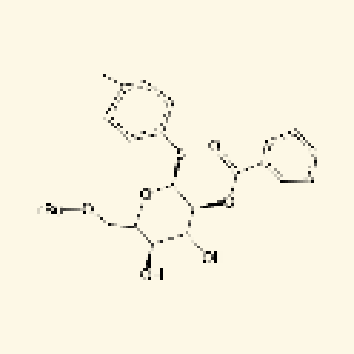 CCCCOCC1O[C@@H](Sc2ccc(C)cc2)[C@@H](OC(=O)c2ccccc2)C(O)[C@H]1O